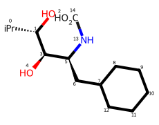 CC(C)[C@H](O)[C@H](O)[C@H](CC1CCCCC1)NC(=O)O